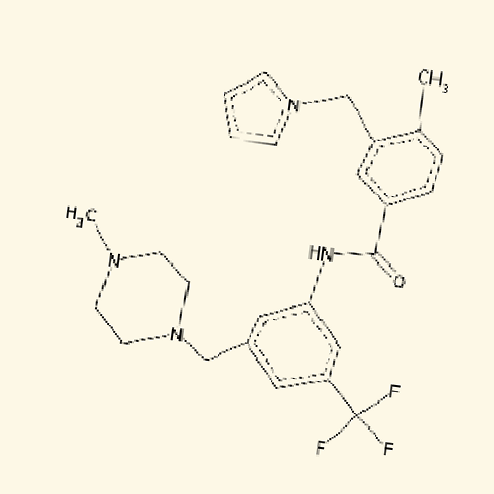 Cc1ccc(C(=O)Nc2cc(CN3CCN(C)CC3)cc(C(F)(F)F)c2)cc1Cn1cccc1